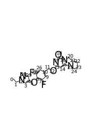 CCn1cc(Oc2c(F)cc(COc3cc4n(c(=O)n3)CC3CCCN43)cc2F)cn1